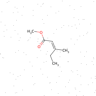 [CH2]OC(=O)C=C(C)CC